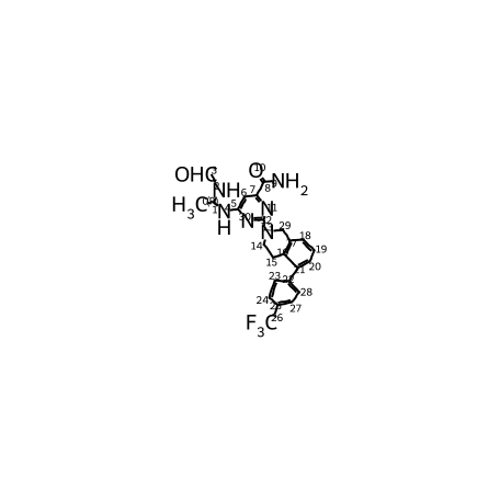 C[C@@H](NC=O)Nc1cc(C(N)=O)nc(N2CCc3c(cccc3-c3ccc(C(F)(F)F)cc3)C2)n1